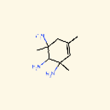 CC1=CC(C)(N)C(N)C(C)(N)C1